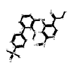 CCC(=O)c1cnc(N=O)cc1Nc1cccc(-c2ccc(P(C)(C)=O)cc2)c1OC